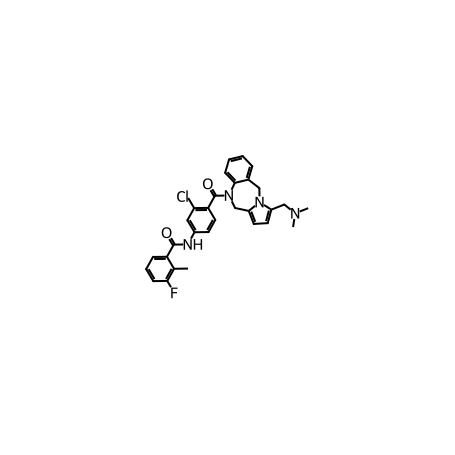 Cc1c(F)cccc1C(=O)Nc1ccc(C(=O)N2Cc3ccc(CN(C)C)n3Cc3ccccc32)c(Cl)c1